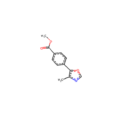 COC(=O)c1ccc(-c2ocnc2C)cc1